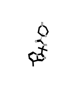 Cc1cccn2c(C(C)(C)NC(=O)[C@@H]3CCNCCO3)ncc12